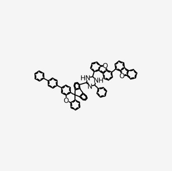 c1ccc(-c2ccc(-c3ccc4c(c3)Oc3ccccc3C43c4ccccc4-c4c(C5=NC(c6ccccc6)NC(c6cccc7oc8c(-c9cccc%10c9oc9ccccc9%10)cccc8c67)N5)cccc43)cc2)cc1